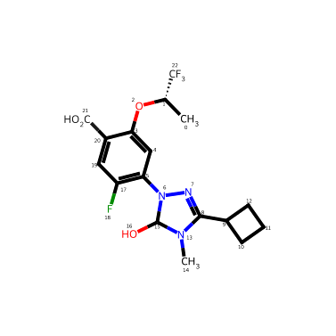 C[C@H](Oc1cc(N2N=C(C3CCC3)N(C)C2O)c(F)cc1C(=O)O)C(F)(F)F